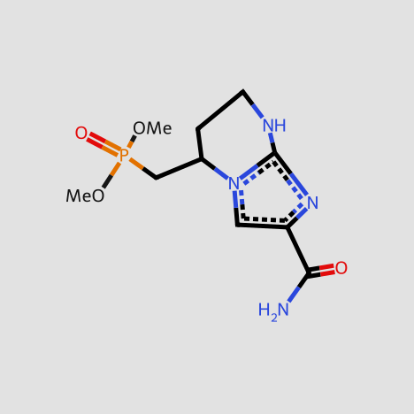 COP(=O)(CC1CCNc2nc(C(N)=O)cn21)OC